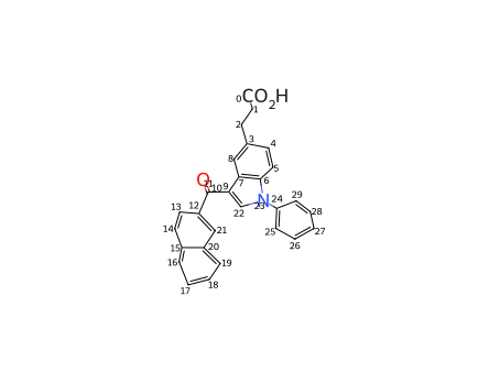 O=C(O)CCc1ccc2c(c1)c(C(=O)c1ccc3ccccc3c1)cn2-c1ccccc1